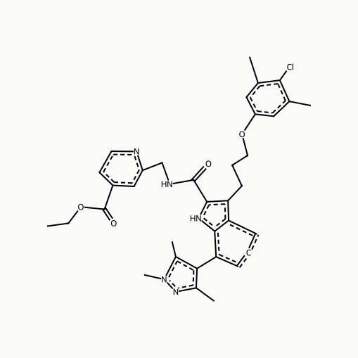 CCOC(=O)c1ccnc(CNC(=O)c2[nH]c3c(-c4c(C)nn(C)c4C)cccc3c2CCCOc2cc(C)c(Cl)c(C)c2)c1